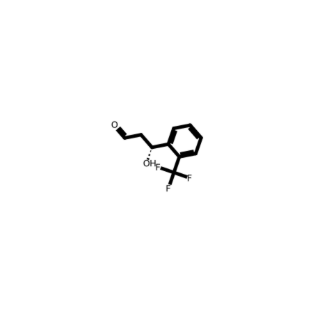 O=CC[C@@H](O)c1ccccc1C(F)(F)F